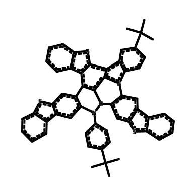 CC(C)(C)c1ccc(N2B3c4cc5sc6ccccc6c5cc4-n4c5ccc(C(C)(C)C)cc5c5c6sc7ccccc7c6c(c3c54)-c3cc4sc5ccccc5c4cc32)cc1